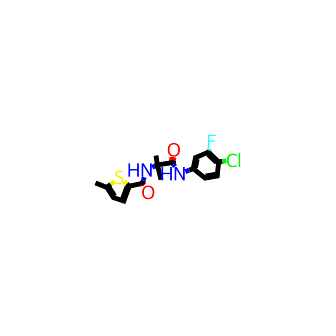 Cc1ccc(C(=O)NC(C)(C)C(=O)Nc2ccc(Cl)c(F)c2)s1